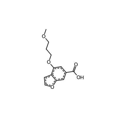 COCCCOc1cc(C(=O)O)cc2occc12